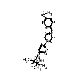 COc1ccc(CN2CCN(c3ccc(B4BC(C)(C)C(C)(C)O4)cn3)CC2)cn1